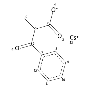 CC(C(=O)[O-])C(=O)c1ccccc1.[Cs+]